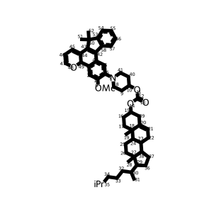 COc1cc2c(cc1N1CCC(OC(=O)OC3CCC4(C)C(=CCC5C4CCC4(C)C(C(C)CCCC(C)C)CCC54)C3)CC1)C1=C(C3=CC=COC32)C(C)(C)c2ccccc21